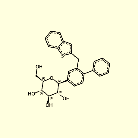 OC[C@H]1O[C@@H](c2ccc(-c3ccccc3)c(Cc3cc4ccccc4s3)c2)[C@H](O)[C@@H](O)[C@@H]1O